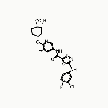 O=C(Nc1cnc(O[C@H]2CC[C@@H](C(=O)O)CC2)c(F)c1)c1nnc(Nc2ccc(F)c(Cl)c2)o1